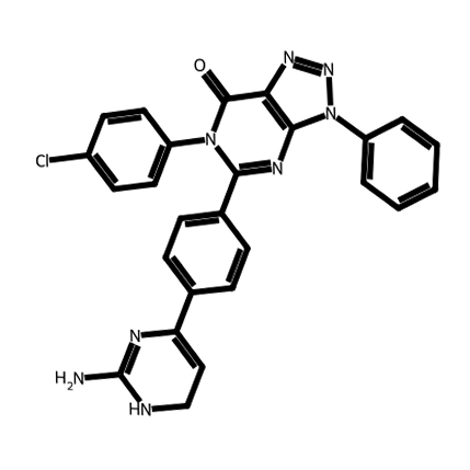 NC1=NC(c2ccc(-c3nc4c(nnn4-c4ccccc4)c(=O)n3-c3ccc(Cl)cc3)cc2)=CCN1